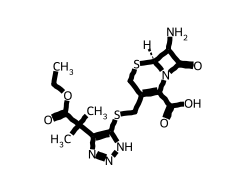 CCOC(=O)C(C)(C)c1nn[nH]c1SCC1=C(C(=O)O)N2C(=O)C(N)[C@@H]2SC1